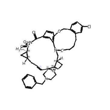 C[C@@]12C[C@H]1C/C=C/[C@]1(CN(Cc3ccccc3)CCO1)[C@@H]1CC[C@H]1CN1CCCCc3cc(Cl)ccc3COc3ccc(cc31)C(=O)NS2(=O)=O